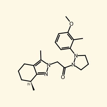 COc1cccc(N2CCCN2C(=O)Cn2nc3c(c2C)CCC[C@@H]3C)c1C